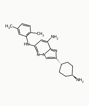 Cc1ccc(C)c(Nc2cc(N)c3nc([C@H]4CC[C@H](N)CC4)cn3n2)c1